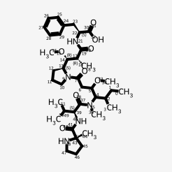 CCC(C)C(C(CC(=O)N1CCC[C@H]1[C@H](OC)[C@@H](C)C(=O)N[C@@H](Cc1ccccc1)C(=O)O)OC)N(C)C(=O)[C@@H](NC(=O)[C@]1(C)CCCN1)C(C)C